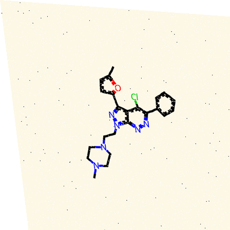 Cc1ccc(-c2nn(CCN3CCN(C)CC3)c3nnc(-c4ccccc4)c(Cl)c23)o1